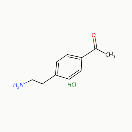 CC(=O)c1ccc(CCN)cc1.Cl